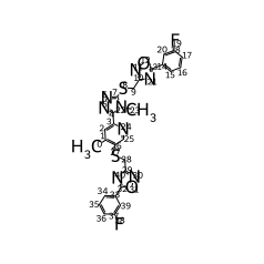 Cc1cc(-c2nnc(SCc3noc(-c4cccc(F)c4)n3)n2C)ncc1SCc1noc(-c2cccc(F)c2)n1